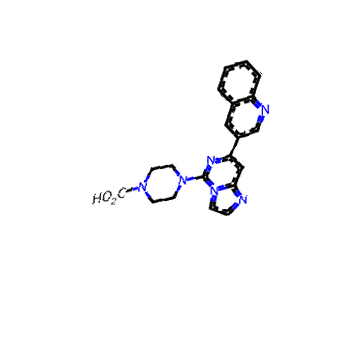 O=C(O)N1CCN(c2nc(-c3cnc4ccccc4c3)cc3nccn23)CC1